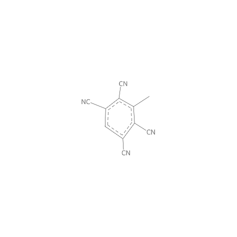 Cc1c(C#N)c(C#N)cc(C#N)c1C#N